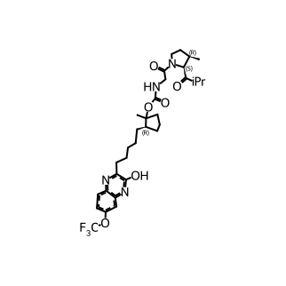 CC(C)C(=O)[C@@H]1[C@H](C)CCN1C(=O)CNC(=O)OC1(C)CCC[C@H]1CCCCCc1nc2ccc(OC(F)(F)F)cc2nc1O